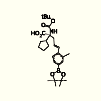 Cc1cc(B2OC(C)(C)C(C)(C)O2)ccc1C=CC[C@@](NC(=O)OC(C)(C)C)(C(=O)O)C1CCCC1